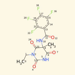 CCN1C(=O)NC(=O)C(C)(NC(=O)c2cc(F)c(F)c(F)c2F)C1=O